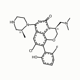 C[C@H]1CNCCN1c1nc(=O)n2c3c(c(-c4c(O)cccc4F)c(Cl)cc13)OC[C@@H]2CN(C)C